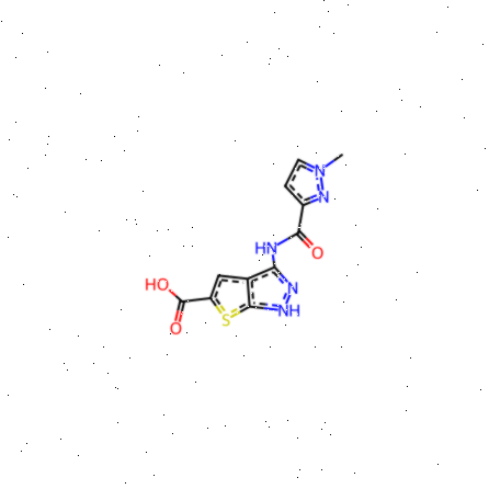 Cn1ccc(C(=O)Nc2n[nH]c3sc(C(=O)O)cc23)n1